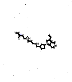 C=Cc1cn(C2CCC(CNCCCNCC/C(C)=C/C)C2)c2ncncc12